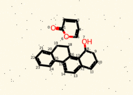 O=c1cccco1.OC1CC=Cc2ccc3c(c21)CCc1ccccc1-3